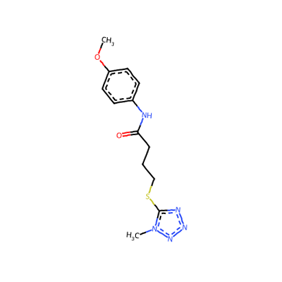 COc1ccc(NC(=O)CCCSc2nnnn2C)cc1